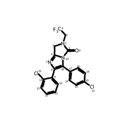 O=C1N(CC(F)(F)F)Cc2nc(-c3ccccc3Cl)c(-c3ccc(Cl)cc3)n21